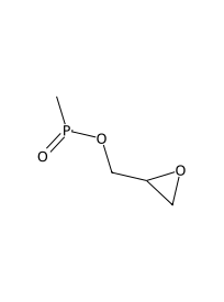 C[P](=O)OCC1CO1